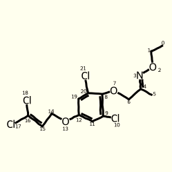 CCON=C(C)COc1c(Cl)cc(OCC=C(Cl)Cl)cc1Cl